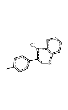 Cc1ccc(-c2cnc3ccccc3[n+]2[O-])cc1